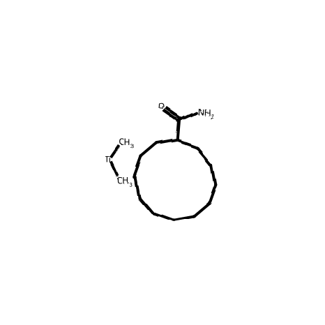 NC(=O)C1CCCCCCCCCCC1.[CH3][Ti][CH3]